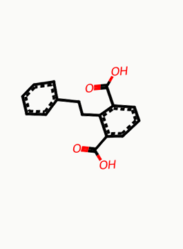 O=C(O)c1cccc(C(=O)O)c1CCc1ccccc1